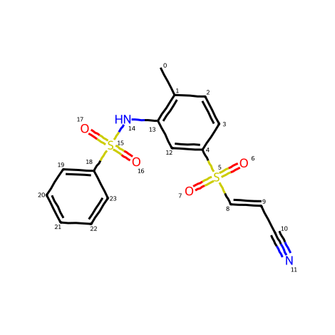 Cc1ccc(S(=O)(=O)/C=C/C#N)cc1NS(=O)(=O)c1ccccc1